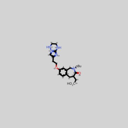 CCCCN1Cc2cc(OCCc3cn4c(n3)NCCN4)ccc2CC(CC(=O)O)C1=O